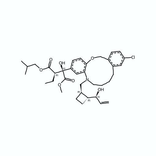 C=C[C@H](O)[C@@H]1CC[C@H]1CN1CCCCc2cc(Cl)ccc2COc2ccc([C@](O)(C(=O)OC)[C@@H](CC)C(=O)OCC(C)C)cc21